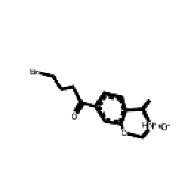 CC1c2ccc(C(=O)CCCBr)cc2OC[NH+]1[O-]